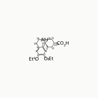 CCOc1cc2c(cc1OCC)[C@]1(CC[C@H](C(=O)O)CC1)NCC2